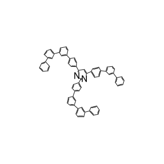 c1ccc(-c2cccc(-c3ccc(-c4cc(-c5ccc(-c6cccc(-c7cccc(-c8ccccc8)c7)c6)cc5)nc(-c5ccc(-c6cccc(-c7cccc(-c8ccccc8)c7)c6)cc5)n4)cc3)c2)cc1